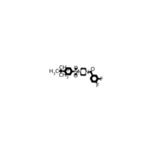 CC(C)(C)c1ccc(S(=O)(=O)N2CCN(C(=O)c3ccc(F)c(F)c3)CC2)cc1